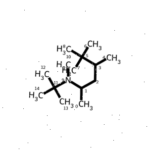 CC(CC(C)C(C)(C)C)N(C)C(C)(C)C